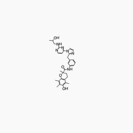 Cc1c(C)c2c(c(C)c1O)CCC(C)(C(=O)Nc1cccc(Cc3nccn3-c3ccnc(NCC(C)O)n3)c1)O2